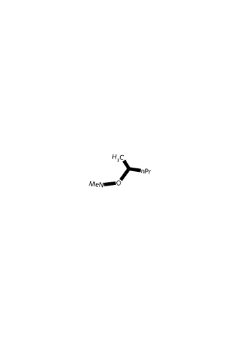 CCCC(C)ONC